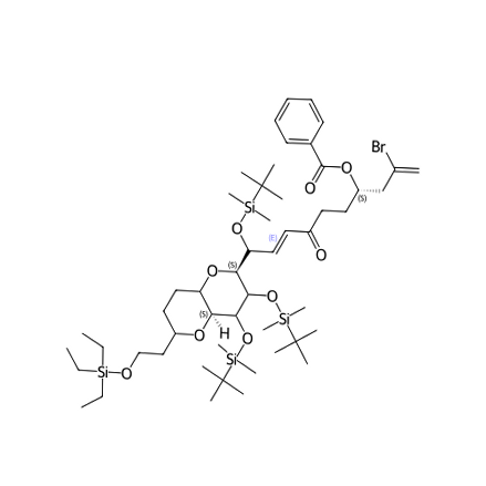 C=C(Br)C[C@H](CCC(=O)/C=C/C(O[Si](C)(C)C(C)(C)C)[C@@H]1OC2CCC(CCO[Si](CC)(CC)CC)O[C@@H]2C(O[Si](C)(C)C(C)(C)C)C1O[Si](C)(C)C(C)(C)C)OC(=O)c1ccccc1